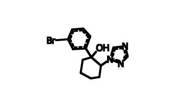 OC1(c2cccc(Br)c2)CCCCC1n1cncn1